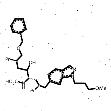 COCCCn1ncc2ccc(C[C@H](C[C@H](NC(=O)O)C(O)C[C@H](COCc3ccccc3)C(C)C)C(C)C)cc21